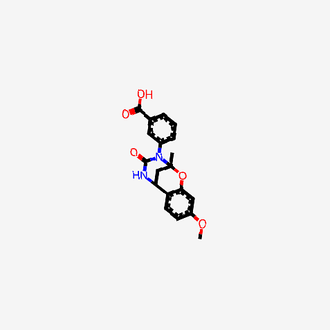 COc1ccc2c(c1)OC1(C)CC2NC(=O)N1c1cccc(C(=O)O)c1